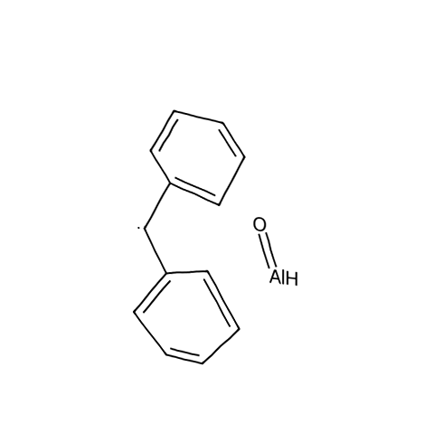 [CH](c1ccccc1)c1ccccc1.[O]=[AlH]